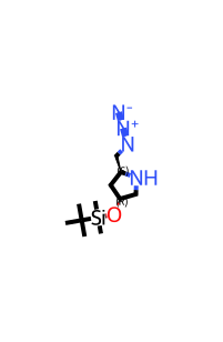 CC(C)(C)[Si](C)(C)O[C@H]1CN[C@H](CN=[N+]=[N-])C1